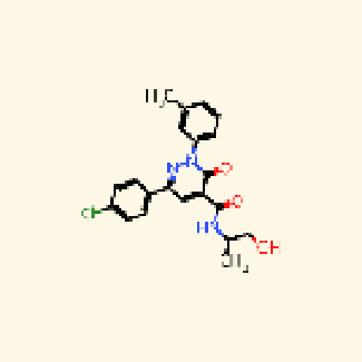 Cc1cccc(-n2nc(-c3ccc(Cl)cc3)cc(C(=O)NC(C)CO)c2=O)c1